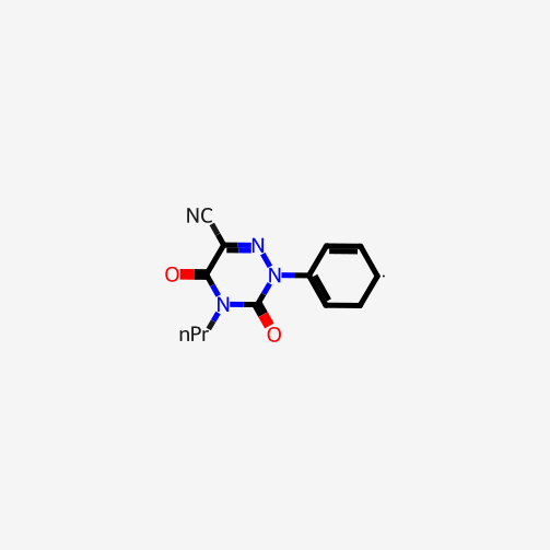 CCCn1c(=O)c(C#N)nn(C2=CC[CH]C=C2)c1=O